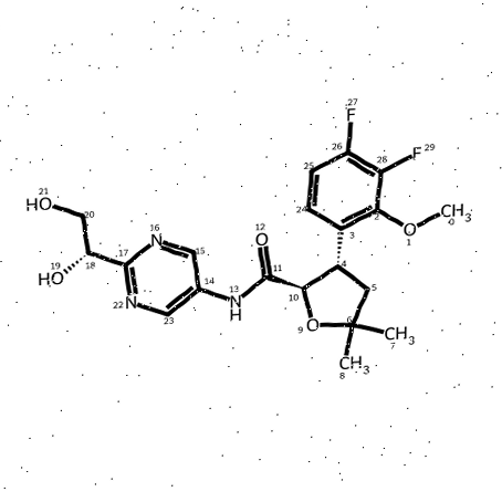 COc1c([C@@H]2CC(C)(C)O[C@H]2C(=O)Nc2cnc([C@H](O)CO)nc2)ccc(F)c1F